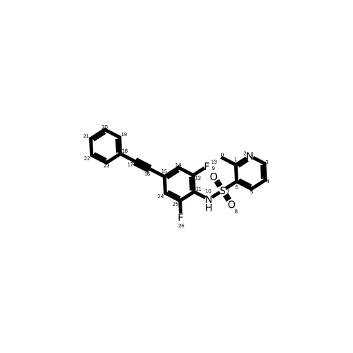 Cc1ncccc1S(=O)(=O)Nc1c(F)cc(C#Cc2ccccc2)cc1F